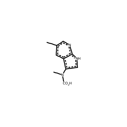 Cc1cnc2[nH]cc(N(C)C(=O)O)c2c1